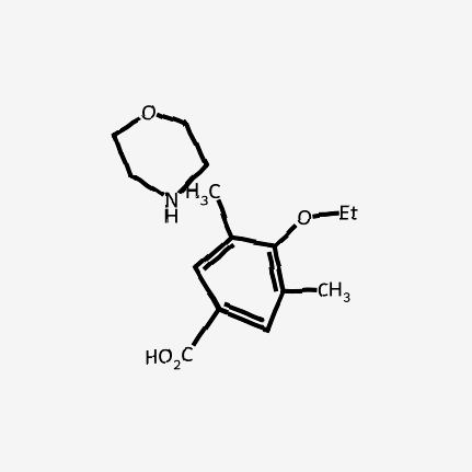 C1COCCN1.CCOc1c(C)cc(C(=O)O)cc1C